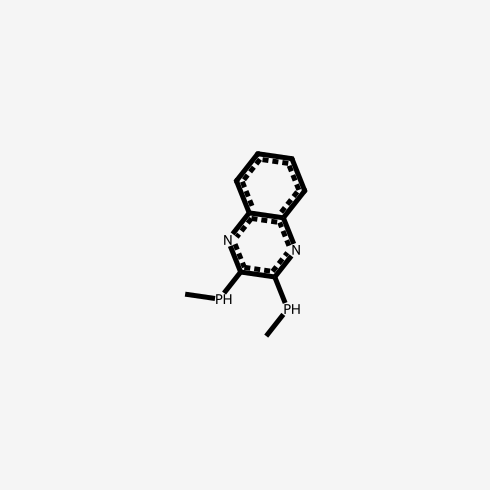 CPc1nc2ccccc2nc1PC